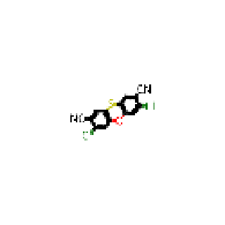 N#Cc1cc2c(cc1Cl)Oc1cc(Cl)c(C#N)cc1S2